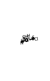 OCc1cc(NCc2csc(Cl)c2)ccc1-c1cnco1